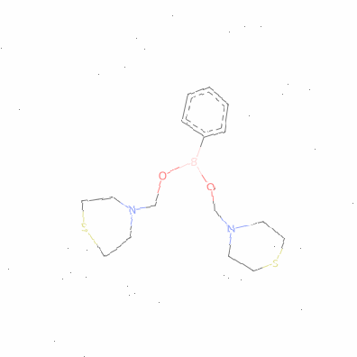 c1ccc(B(OCN2CCSCC2)OCN2CCSCC2)cc1